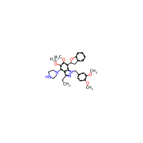 CCc1nn(Cc2ccc(OC)c(OC)c2)c2c(C3Cc4ccccc4O3)c(OC)c(OC)c(N3CCNCC3)c12